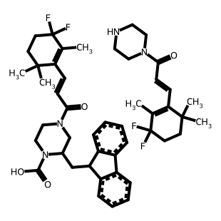 CC1=C(/C=C/C(=O)N2CCN(C(=O)O)C(CC3c4ccccc4-c4ccccc43)C2)C(C)(C)CCC1(F)F.CC1=C(/C=C/C(=O)N2CCNCC2)C(C)(C)CCC1(F)F